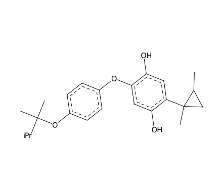 CC(C)C(C)(C)Oc1ccc(Oc2cc(O)c(C3(C)CC3C)cc2O)cc1